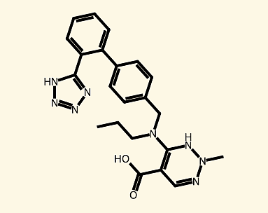 CCCN(Cc1ccc(-c2ccccc2-c2nnn[nH]2)cc1)C1=C(C(=O)O)C=NN(C)N1